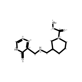 CC(C)(C)OC(=O)N1CCCC(CNCc2nnc[nH]c2=O)C1